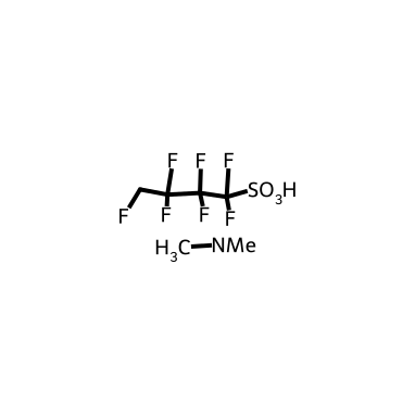 CNC.O=S(=O)(O)C(F)(F)C(F)(F)C(F)(F)CF